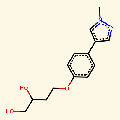 Cn1cc(-c2c[c]c(OCCC(O)CO)cc2)cn1